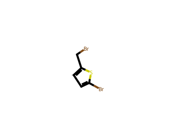 BrCc1[c]cc(Br)s1